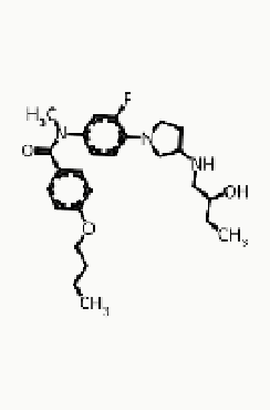 CCCCOc1ccc(C(=O)N(C)c2ccc(N3CCC(NCC(O)CC)C3)c(F)c2)cc1